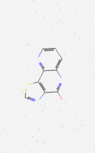 Oc1nc2cccnc2c2scnc12